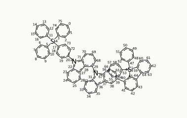 c1ccc([Si](c2ccccc2)(c2ccccc2)c2ccc(-n3c4ccccc4c4c(-n5c6ccccc6c6cc(-c7cccc8c7[Si](c7ccccc7)(c7ccccc7)c7ccccc7-8)ccc65)cccc43)cc2)cc1